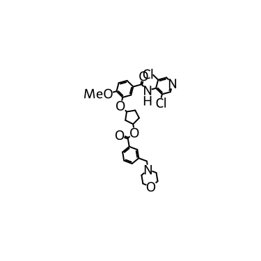 COc1ccc(C(=O)Nc2c(Cl)cncc2Cl)cc1OC1CCC(OC(=O)c2cccc(CN3CCOCC3)c2)C1